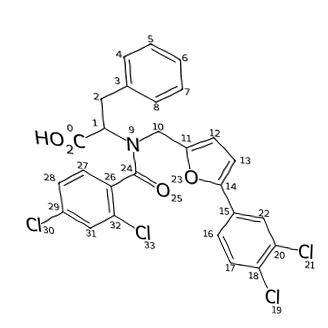 O=C(O)C(Cc1ccccc1)N(Cc1ccc(-c2ccc(Cl)c(Cl)c2)o1)C(=O)c1ccc(Cl)cc1Cl